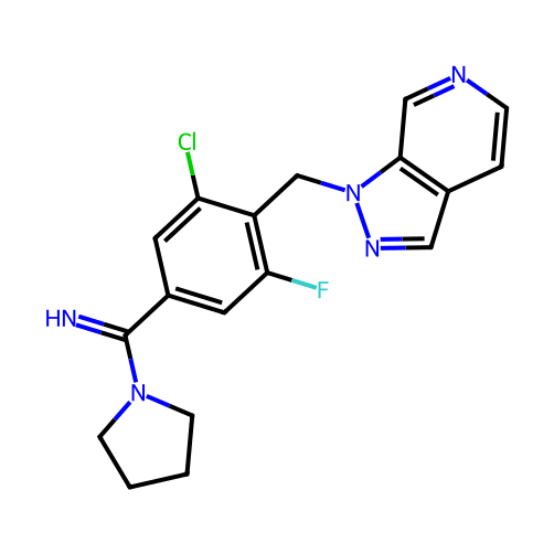 N=C(c1cc(F)c(Cn2ncc3ccncc32)c(Cl)c1)N1CCCC1